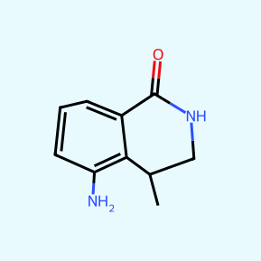 CC1CNC(=O)c2cccc(N)c21